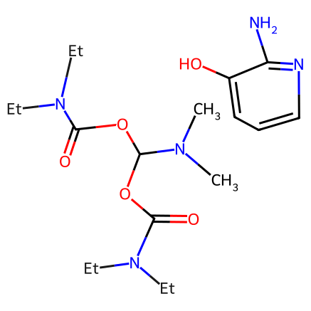 CCN(CC)C(=O)OC(OC(=O)N(CC)CC)N(C)C.Nc1ncccc1O